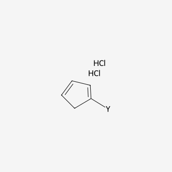 Cl.Cl.[Y][C]1=CC=CC1